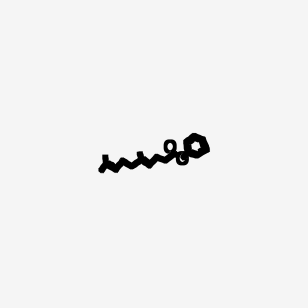 CC(C)=CCC/C(C)=C/CCC(=O)Oc1ccccc1